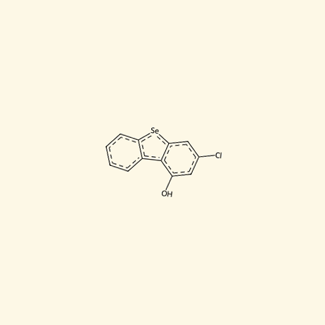 Oc1cc(Cl)cc2[se]c3ccccc3c12